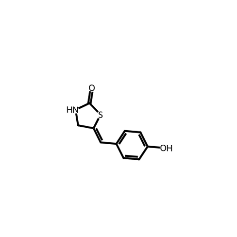 O=C1NCC(=Cc2ccc(O)cc2)S1